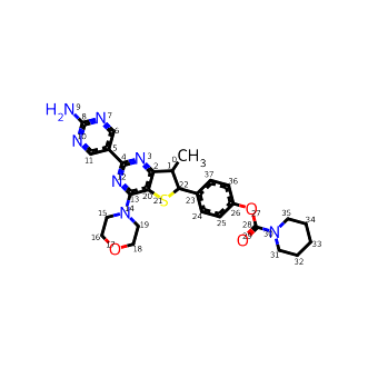 CC1c2nc(-c3cnc(N)nc3)nc(N3CCOCC3)c2SC1c1ccc(OC(=O)N2CCCCC2)cc1